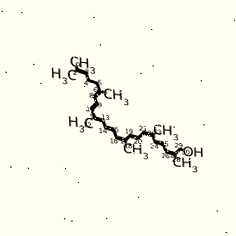 CC(C)=CCCC(C)=CC=CC(C)=CC=CC=C(C)C=CC=C(C)C=CC=C(C)CO